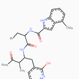 CNC(=O)C(OC(C)=O)C(Cc1cccnc1O)NC(=O)C(CC(C)C)NC(=O)c1cc2c(OC)cccc2[nH]1